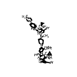 COc1cc(Nc2nc(NC3(C)CC3)c3c(C(C)C)csc3n2)ccc1N1CCC(N(C)C[SH]2C=C(C(C)C)c3c(NC4(C)CC4)nc(Nc4ccc(N5CCN(C)CC5)cc4)nc32)CC1